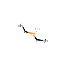 CCCCCPCCCCC.[LiH]